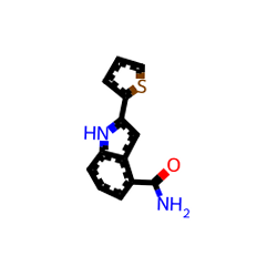 NC(=O)c1cccc2[nH]c(-c3cccs3)cc12